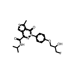 Cc1scc2c(C(=O)NC(C)C)nn(-c3ccc(OCC(O)CF)cc3)c(=O)c12